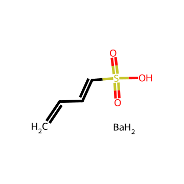 C=CC=CS(=O)(=O)O.[BaH2]